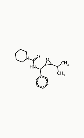 CC(C)C1OC1[C@H](NC(=O)N1CCCCC1)c1ccccc1